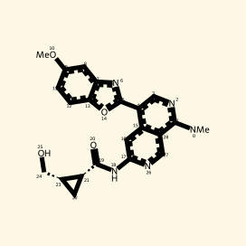 CNc1ncc(-c2nc3cc(OC)ccc3o2)c2cc(NC(=O)[C@@H]3C[C@@H]3CO)ncc12